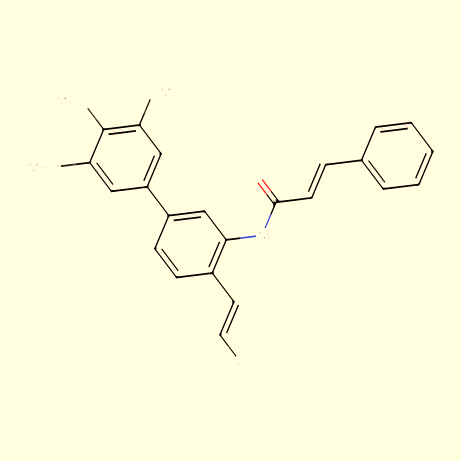 CCOC(=O)C=Cc1ccc(-c2cc(OC)c(OC)c(OC)c2)cc1NC(=O)C=Cc1ccccc1